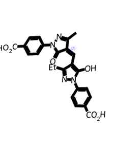 CCc1nn(-c2ccc(C(=O)O)cc2)c(O)c1/C=C1\C(=O)N(c2ccc(C(=O)O)cc2)N=C1C